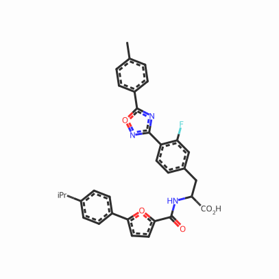 Cc1ccc(-c2nc(-c3ccc(CC(NC(=O)c4ccc(-c5ccc(C(C)C)cc5)o4)C(=O)O)cc3F)no2)cc1